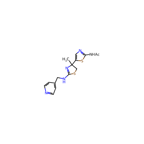 CC(=O)Nc1ncc(C2(C)CSC(NCc3ccncc3)=N2)s1